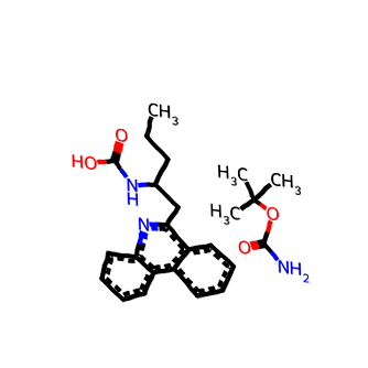 CC(C)(C)OC(N)=O.CCCC(Cc1nc2ccccc2c2ccccc12)NC(=O)O